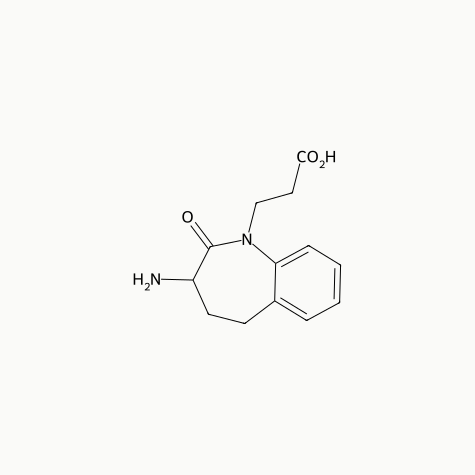 NC1CCc2ccccc2N(CCC(=O)O)C1=O